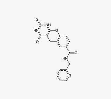 O=C(NCc1ccccn1)c1ccc2c(c1)Cc1c([nH]c(=S)[nH]c1=O)O2